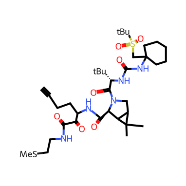 C#CCCC(NC(=O)C1C2C(CN1C(=O)[C@@H](NC(=O)NC1(CS(=O)(=O)C(C)(C)C)CCCCC1)C(C)(C)C)C2(C)C)C(=O)C(=O)NCCSC